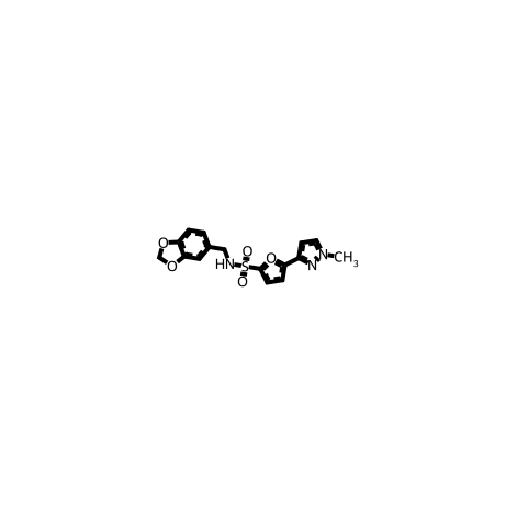 Cn1ccc(-c2ccc(S(=O)(=O)NCc3ccc4c(c3)OCO4)o2)n1